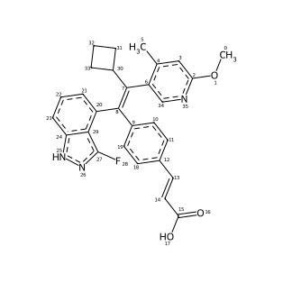 COc1cc(C)c(/C(=C(\c2ccc(/C=C/C(=O)O)cc2)c2cccc3[nH]nc(F)c23)C2CCC2)cn1